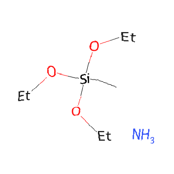 CCO[Si](C)(OCC)OCC.N